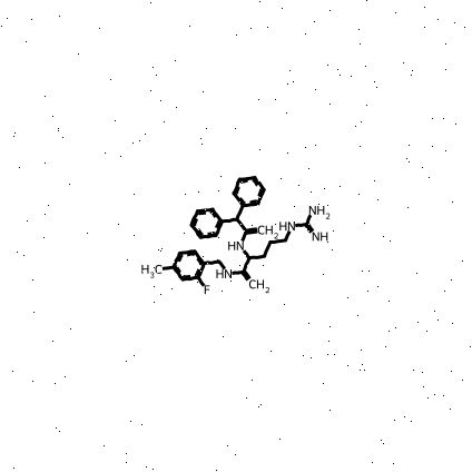 C=C(NCc1ccc(C)cc1F)C(CCCNC(=N)N)NC(=C)C(c1ccccc1)c1ccccc1